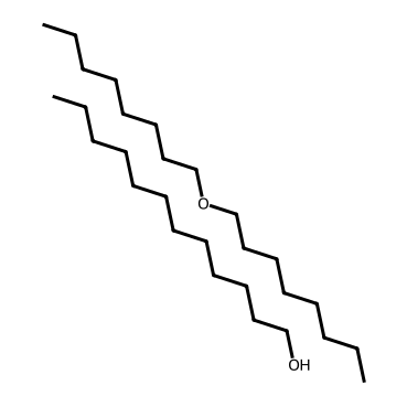 CCCCCCCCCCCCO.CCCCCCCCOCCCCCCCC